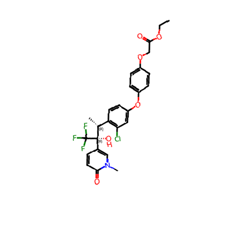 CCOC(=O)COc1ccc(Oc2ccc([C@@H](C)[C@@](O)(c3ccc(=O)n(C)c3)C(F)(F)F)c(Cl)c2)cc1